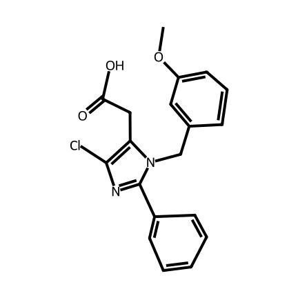 COc1cccc(Cn2c(-c3ccccc3)nc(Cl)c2CC(=O)O)c1